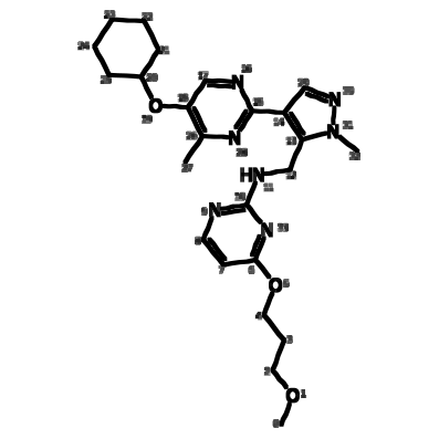 COCCCOc1ccnc(NCc2c(-c3ncc(OC4CCCCC4)c(C)n3)cnn2C)n1